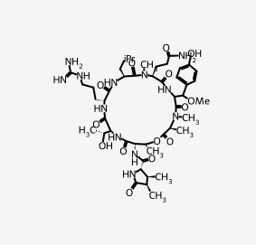 COC(c1ccc(O)cc1)C1NC(=O)[C@H](CCC(N)=O)N(C)C(=O)[C@H](CC(C)C)NC(=O)[C@@H](CCCNC(=N)N)NC(=O)[C@H]([C@@H](C)O)NC(=O)[C@@H](NC(=O)[C@H]2NC(=O)[C@H](C)[C@@H]2C)[C@@H](C)OC(=O)[C@H](C)N(C)C1=O